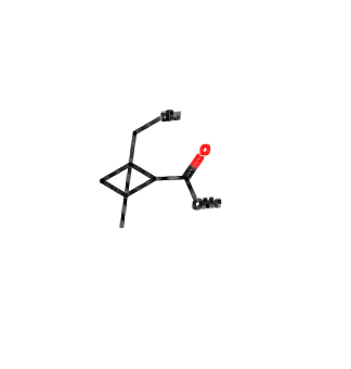 COC(=O)C1C2(C)CC12CC(C)(C)C